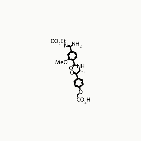 CCOC(=O)N=C(N)c1ccc(C(=O)N[C@H](C)C(=O)c2ccc(OCC(=O)O)cc2)c(OC)c1